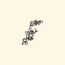 CCOC(=O)CN(C/C=C/C(=O)Nc1cc2c(Nc3ccc(F)c(Cl)c3)ncnc2cc1OCC1CC1)CCSC(=O)CC(C)C